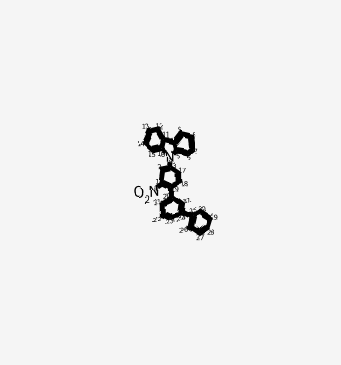 O=[N+]([O-])c1cc(-n2c3ccccc3c3ccccc32)ccc1-c1cccc(-c2ccccc2)c1